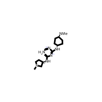 C=C(/N=C(\N=C/N)N[C@H]1CC[C@H](NC)CC1)N[C@@H]1CCN(C)C1